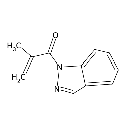 C=C(C)C(=O)n1ncc2ccccc21